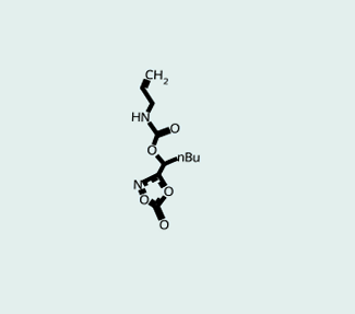 C=CCNC(=O)OC(CCCC)c1noc(=O)o1